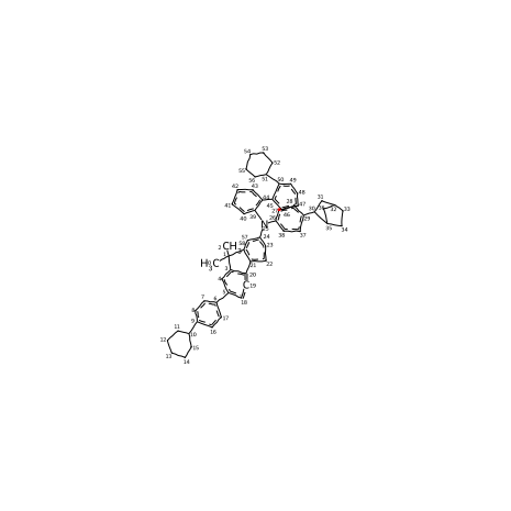 CC1(C)c2cc(-c3ccc(C4CCCCC4)cc3)ccc2-c2ccc(N(c3ccc(C4CC5CCC4C5)cc3)c3ccccc3-c3ccccc3C3CCCCC3)cc21